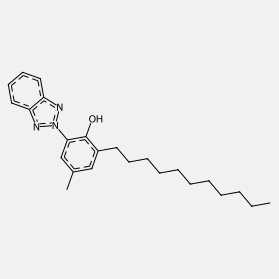 CCCCCCCCCCCc1cc(C)cc(-n2nc3ccccc3n2)c1O